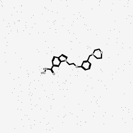 O=C(NO)c1ccc2ccn(CCOc3cccc(CN4CCOCC4)c3)c2c1